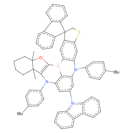 CC(C)(C)c1ccc(N2C3=C(OC4(C)CCCCC34C)B3c4cc5c(cc4N(c4ccc(C(C)(C)C)cc4)c4cc(-n6c7ccccc7c7ccccc76)cc2c43)SCC52c3ccccc3-c3ccccc32)cc1